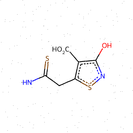 [NH]C(=S)Cc1snc(O)c1C(=O)O